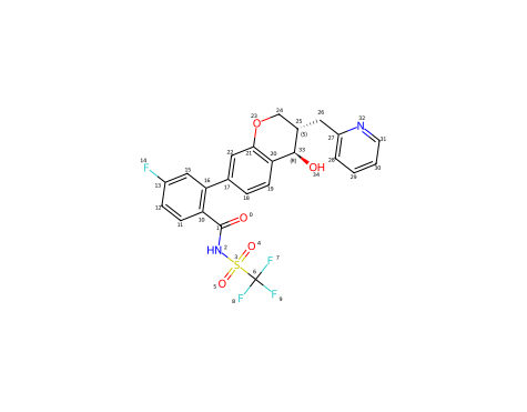 O=C(NS(=O)(=O)C(F)(F)F)c1ccc(F)cc1-c1ccc2c(c1)OC[C@H](Cc1ccccn1)[C@H]2O